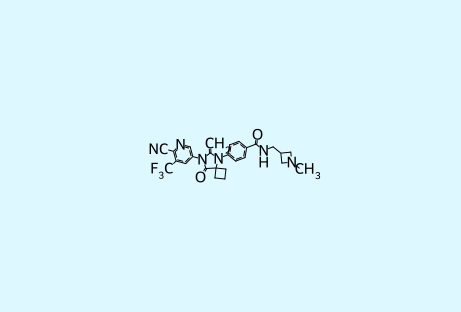 C=C1N(c2cnc(C#N)c(C(F)(F)F)c2)C(=O)C2(CCC2)N1c1ccc(C(=O)NCC2CN(C)C2)cc1